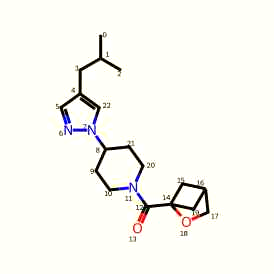 CC(C)Cc1cnn(C2CCN(C(=O)C34CC(CO3)C4)CC2)c1